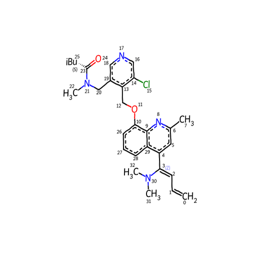 C=C/C=C(/c1cc(C)nc2c(OCc3c(Cl)cncc3CN(C)C(=O)[C@@H](C)CC)cccc12)N(C)C